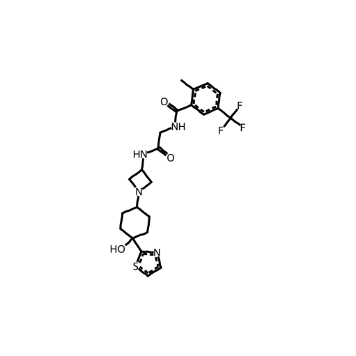 Cc1ccc(C(F)(F)F)cc1C(=O)NCC(=O)NC1CN(C2CCC(O)(c3nccs3)CC2)C1